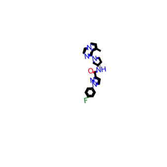 Cc1ccn2ccnc(N3CC[C@H](NC(=O)c4ccn(-c5ccc(F)cc5)n4)C3)c12